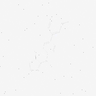 CCN/C=C(\C=N)c1ccc(N(N)c2nn(C)cc2N)cc1F